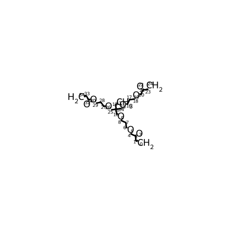 C=CC(=O)COCCCOCC(CC)(COCCCOCC(=O)C=C)COCCCOC(=O)C=C